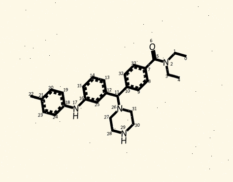 CCN(CC)C(=O)c1ccc(C(c2cccc(Nc3ccc(C)cc3)c2)N2CCNCC2)cc1